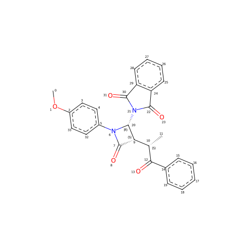 COc1ccc(N2C(=O)[C@@H]([C@H](C)C(=O)c3ccccc3)[C@H]2N2C(=O)c3ccccc3C2=O)cc1